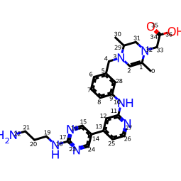 CC1=CN(Cc2cccc(Nc3cc(-c4cnc(NCCCN)nc4)ccn3)c2)C(C)CN1CC(=O)O